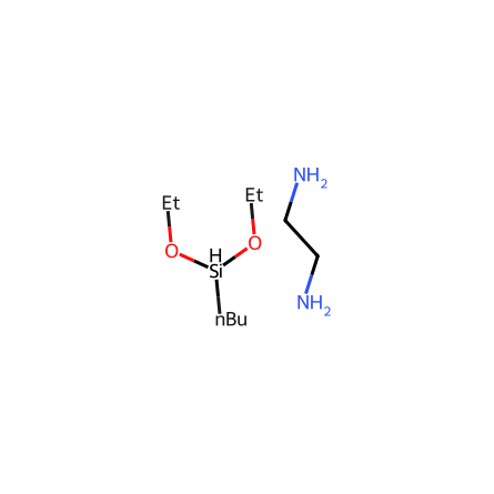 CCCC[SiH](OCC)OCC.NCCN